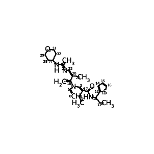 C=CN(/C=C(\CC)C(=O)NC(CC)c1cccs1)C(=C)/C(C)=C\N=C(/C)NC1CCOCC1